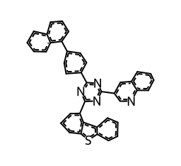 c1ccc2ncc(-c3nc(-c4ccc(-c5cccc6ccccc56)cc4)nc(-c4cccc5sc6ccccc6c45)n3)cc2c1